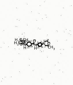 C[C@@H]1CN(c2ccc(NC(=O)C3CCC(NS(=O)(=O)C(C)(C)C)CC3)cc2)CCO1